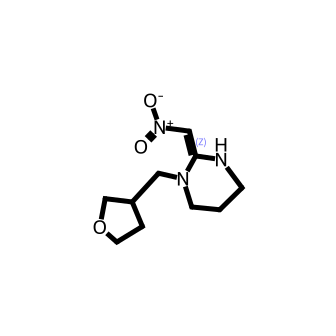 O=[N+]([O-])/C=C1/NCCCN1CC1CCOC1